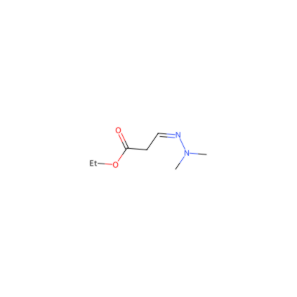 CCOC(=O)C/C=N\N(C)C